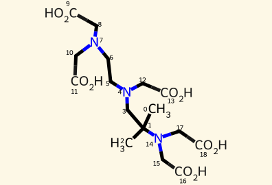 CC(C)(CN(CCN(CC(=O)O)CC(=O)O)CC(=O)O)N(CC(=O)O)CC(=O)O